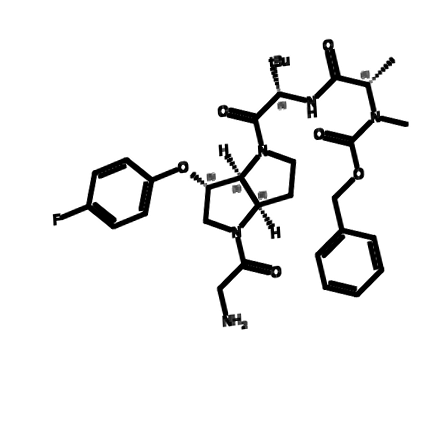 C[C@@H](C(=O)N[C@H](C(=O)N1CC[C@@H]2[C@H]1[C@@H](Oc1ccc(F)cc1)CN2C(=O)CN)C(C)(C)C)N(C)C(=O)OCc1ccccc1